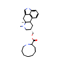 CN1C[C@H](COC(=O)C2CCCCCCCN2)CC2c3cccc4[nH]cc(c34)C[C@H]21